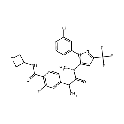 CC(C(=O)N(C)c1cc(C(F)(F)F)nn1-c1cccc(Cl)c1)c1ccc(C(=O)NC2COC2)c(F)c1